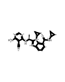 C[C@H](Nc1ncnc(N)c1C#N)c1nc2cccc(C(=O)NC3CC3)c2n1C1CC1